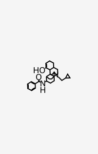 O=C(NC1CCC23CCC1C21CCN(CC2CC2)C3CC2CCC=C(O)C21)c1ccccc1